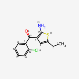 CCc1cc(C(=O)c2ccccc2Cl)c(N)s1